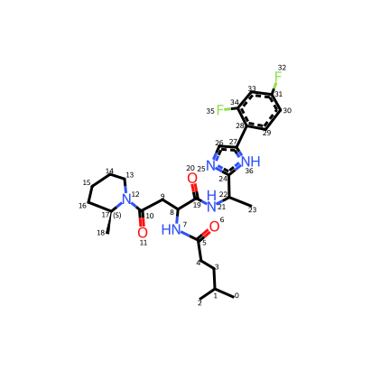 CC(C)CCC(=O)NC(CC(=O)N1CCCC[C@@H]1C)C(=O)NC(C)c1ncc(-c2ccc(F)cc2F)[nH]1